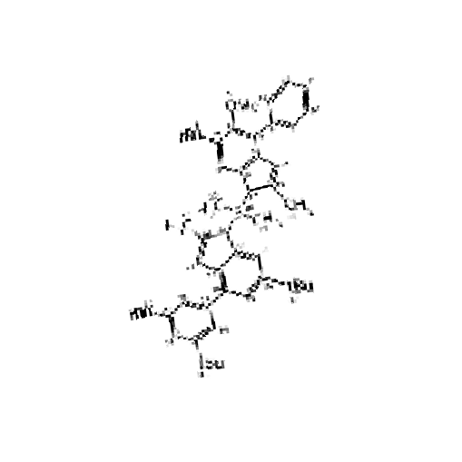 COc1c(C(C)(C)C)cc2c(c1-c1ccccc1)C=C(C)C2S(C)(C)C1C(C)=Cc2c(-c3cc(C(C)(C)C)cc(C(C)(C)C)c3)cc(C(C)(C)C)cc21